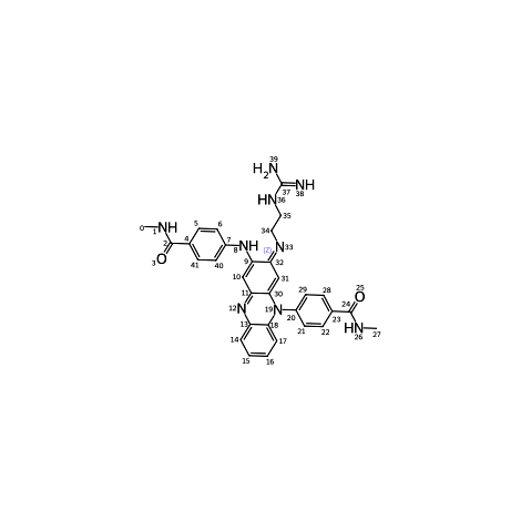 CNC(=O)c1ccc(Nc2cc3nc4ccccc4n(-c4ccc(C(=O)NC)cc4)c-3c/c2=N/CCNC(=N)N)cc1